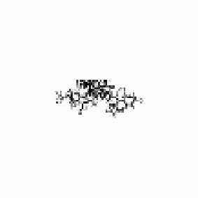 Cc1cc(C)c(-c2cc([C@@H](CC(=O)O)NC(=O)[C@H](CC(C)C)n3cc(C4CCN(C5CC5)CC4)c(C(F)(F)F)cc3=O)cc3c2CCC3)c(C)c1